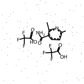 Cc1ccc(C(N)=O)c(C)n1.O=C(O)C(F)(F)F.O=C(O)C(F)(F)F